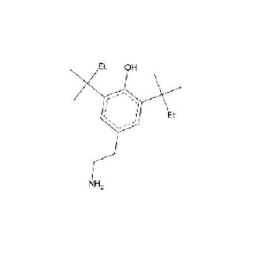 CCC(C)(C)c1cc(CCN)cc(C(C)(C)CC)c1O